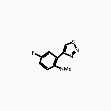 CNc1ccc(F)cc1-c1csnn1